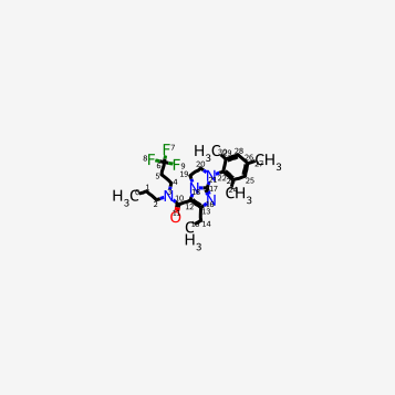 CCCN(CCC(F)(F)F)C(=O)c1c(CC)nc2n1CCN2c1c(C)cc(C)cc1C